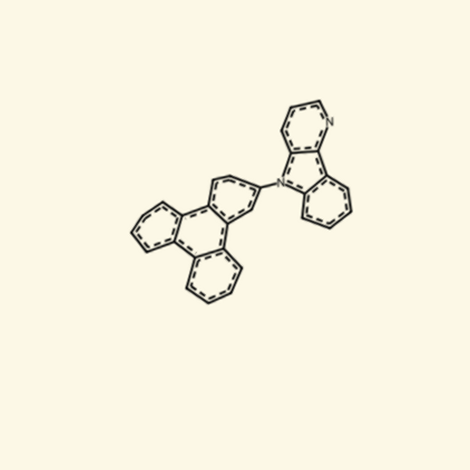 c1ccc2c(c1)c1ccccc1c1cc(-n3c4ccccc4c4ncccc43)ccc21